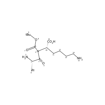 CC(C)[C@H](N)C(=O)N(C(=O)OC(C)(C)C)[C@@H](CCCCN)C(=O)O